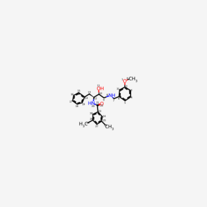 COc1cccc(CNC[C@H](O)[C@H](Cc2ccccc2)NC(=O)c2cc(C)cc(C)c2)c1